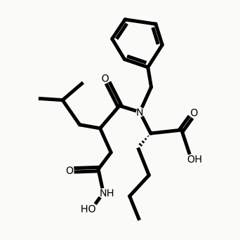 CCCC[C@@H](C(=O)O)N(Cc1ccccc1)C(=O)C(CC(=O)NO)CC(C)C